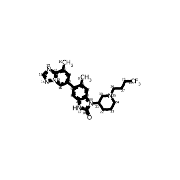 Cc1cc2c(cc1-c1cc(C)c3ncnn3c1)[nH]c(=O)n2C1CCCN(CCCC(F)(F)F)C1